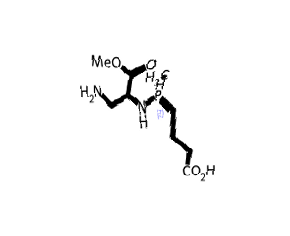 COC(=O)C(CN)N/[PH](C)=C\CCC(=O)O